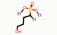 CCOP(=O)(OCC)C(CC)CCCO